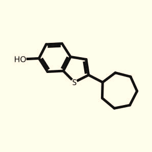 Oc1ccc2cc(C3CCCCCC3)sc2c1